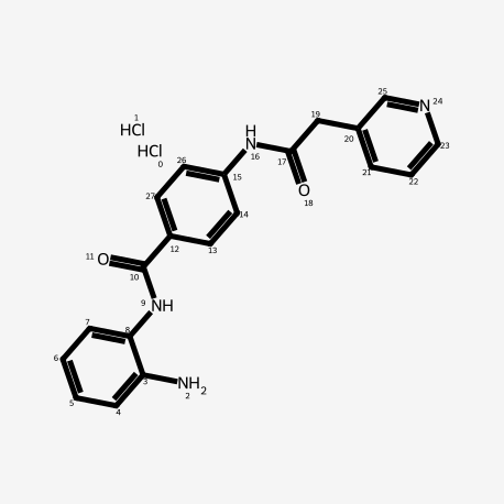 Cl.Cl.Nc1ccccc1NC(=O)c1ccc(NC(=O)Cc2cccnc2)cc1